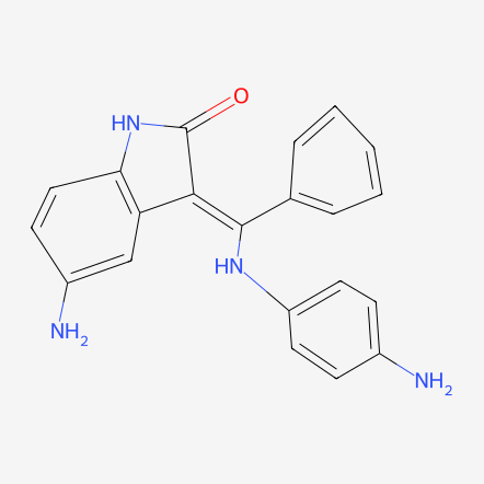 Nc1ccc(NC(=C2C(=O)Nc3ccc(N)cc32)c2ccccc2)cc1